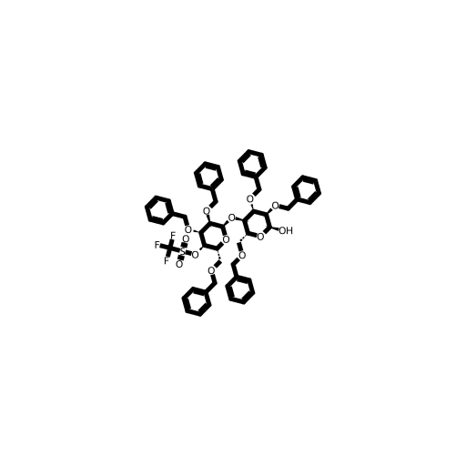 O=S(=O)(O[C@@H]1[C@H](OCc2ccccc2)[C@@H](OCc2ccccc2)[C@@H](O[C@H]2[C@H](OCc3ccccc3)[C@@H](OCc3ccccc3)[C@@H](O)O[C@@H]2COCc2ccccc2)O[C@@H]1COCc1ccccc1)C(F)(F)F